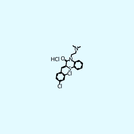 CN(C)CCN1C(=O)C(=Cc2ccc(Cl)cc2Cl)Sc2ccccc21.Cl